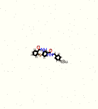 CC(C)(C)c1ccc(CNC(=O)c2ccc3c(c2)NC(=O)c2ccccc2S3)cc1